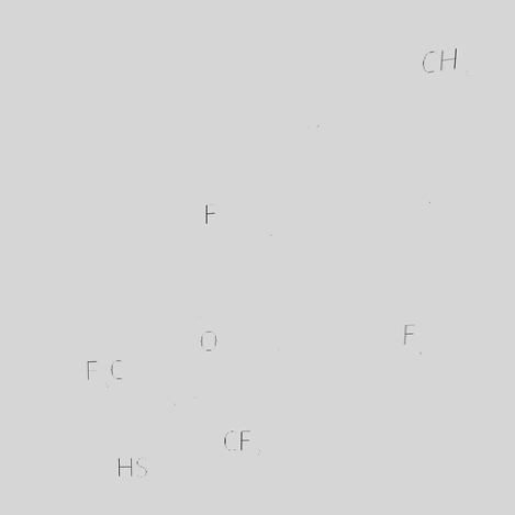 Cc1cc(F)c(COC(S)(C(F)(F)F)C(F)(F)F)c(F)c1